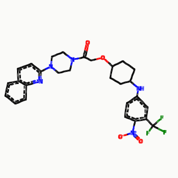 O=C(COC1CCC(Nc2ccc([N+](=O)[O-])c(C(F)(F)F)c2)CC1)N1CCN(c2ccc3ccccc3n2)CC1